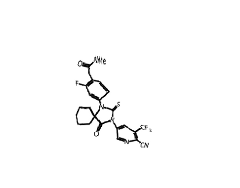 CNC(=O)c1ccc(N2C(=S)N(c3cnc(C#N)c(C(F)(F)F)c3)C(=O)C23CCCCC3)cc1F